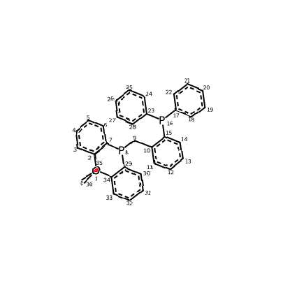 COc1ccccc1P(Cc1ccccc1P(c1ccccc1)c1ccccc1)c1ccccc1OC